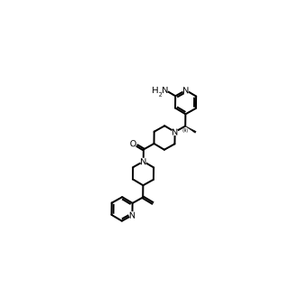 C=C(c1ccccn1)C1CCN(C(=O)C2CCN([C@H](C)c3ccnc(N)c3)CC2)CC1